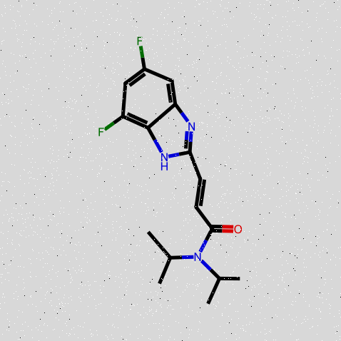 CC(C)N(C(=O)C=Cc1nc2cc(F)cc(F)c2[nH]1)C(C)C